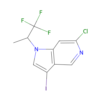 CC(n1cc(I)c2cnc(Cl)cc21)C(F)(F)F